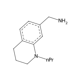 CCCN1CCCc2ccc(CN)cc21